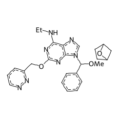 C1CC2CC1O2.CCNc1nc(OCc2cccnn2)nc2c1ncn2C(OC)c1ccccc1